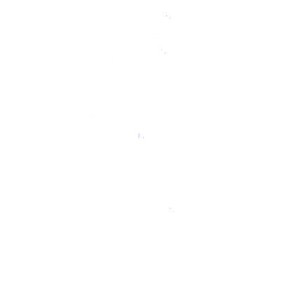 CCCC(=O)N(c1ccc(NC(=O)c2cc(N3C(=O)CCNC3=O)cc(C(C)(C)C)c2OC)cc1)S(C)(=O)=O